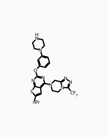 CCCc1cc2c(N3CCn4c(nnc4C(F)(F)F)C3)nc(Oc3cccc(N4CCNCC4)c3)nc2s1